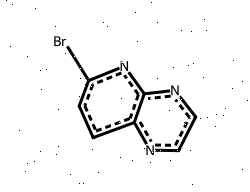 Brc1ccc2nccnc2n1